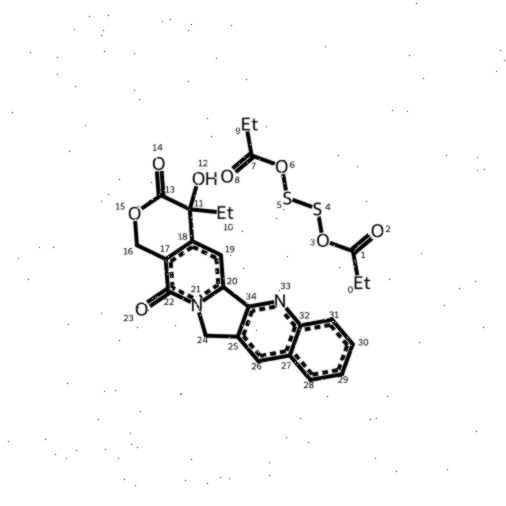 CCC(=O)OSSOC(=O)CC.CCC1(O)C(=O)OCc2c1cc1n(c2=O)Cc2cc3ccccc3nc2-1